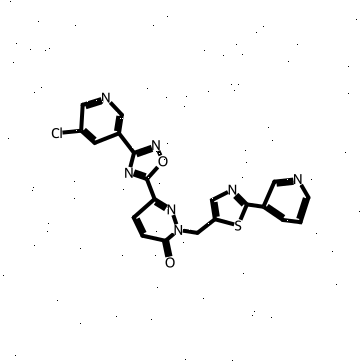 O=c1ccc(-c2nc(-c3cncc(Cl)c3)no2)nn1Cc1cnc(-c2cccnc2)s1